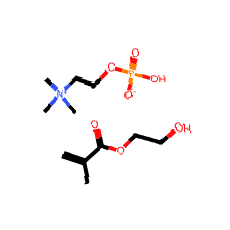 C=C(C)C(=O)OCCO.C[N+](C)(C)CCOP(=O)([O-])O